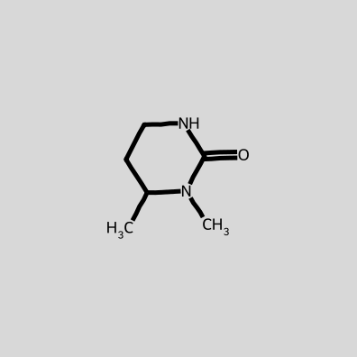 CC1CCNC(=O)N1C